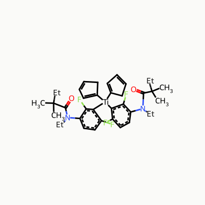 CCN(C(=O)C(C)(C)CC)c1ccc(F)[c]([Ti]([C]2=CC=CC2)([C]2=CC=CC2)[c]2c(F)ccc(N(CC)C(=O)C(C)(C)CC)c2F)c1F